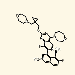 C#Cc1c(F)ccc2cc(O)cc(-c3ncc4c(N5CCCOCC5)nc(OCC5(CN6CCOCC6)CC5)nc4c3F)c12